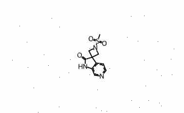 CS(=O)(=O)N1CC2(C1)C(=O)Nc1cnccc12